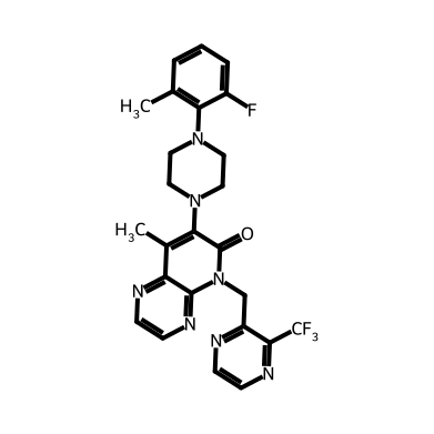 Cc1cccc(F)c1N1CCN(c2c(C)c3nccnc3n(Cc3nccnc3C(F)(F)F)c2=O)CC1